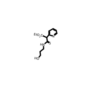 CCOC(=O)C(C(=S)NCCCO)c1ccccn1